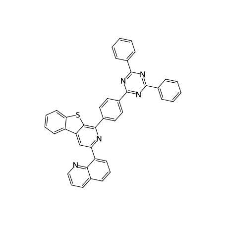 c1ccc(-c2nc(-c3ccccc3)nc(-c3ccc(-c4nc(-c5cccc6cccnc56)cc5c4sc4ccccc45)cc3)n2)cc1